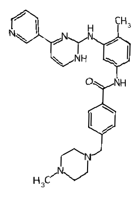 Cc1ccc(NC(=O)c2ccc(CN3CCN(C)CC3)cc2)cc1NC1N=C(c2cccnc2)C=CN1